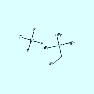 CCC[N+](CCC)(CCC)CC(C)C.F[B-](F)(F)F